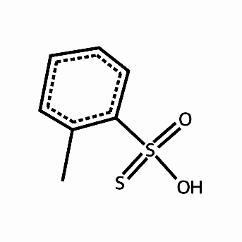 Cc1ccccc1S(=O)(O)=S